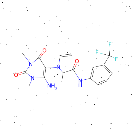 C=CN(c1c(N)n(C)c(=O)n(C)c1=O)C(C)C(=O)Nc1cccc(C(F)(F)F)c1